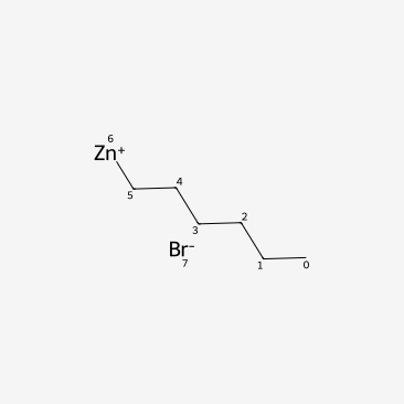 CCCCC[CH2][Zn+].[Br-]